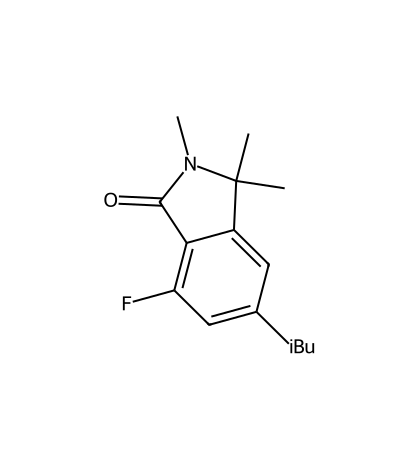 CCC(C)c1cc(F)c2c(c1)C(C)(C)N(C)C2=O